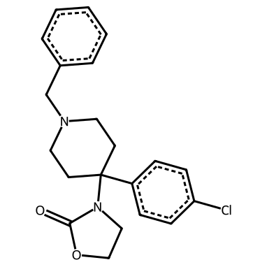 O=C1OCCN1C1(c2ccc(Cl)cc2)CCN(Cc2ccccc2)CC1